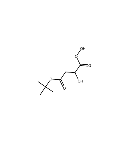 CC(C)(C)OC(=O)CC(O)C(=O)OO